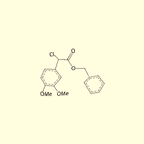 COc1ccc(C(Cl)C(=O)OCc2ccccc2)cc1OC